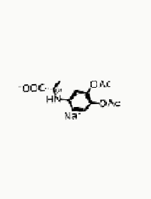 CC(=O)Oc1ccc(N[C@@H](C)C(=O)[O-])cc1OC(C)=O.[Na+]